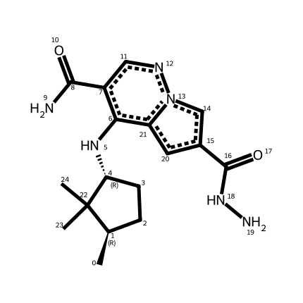 C[C@@H]1CC[C@@H](Nc2c(C(N)=O)cnn3cc(C(=O)NN)cc23)C1(C)C